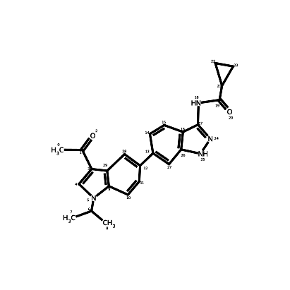 CC(=O)c1cn(C(C)C)c2ccc(-c3ccc4c(NC(=O)C5CC5)n[nH]c4c3)cc12